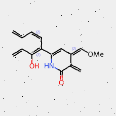 C=C/C=C\C(=C(\O)C=C)c1c/c(=C/OC)c(=C)c(=O)[nH]1